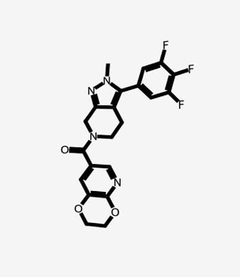 Cn1nc2c(c1-c1cc(F)c(F)c(F)c1)CCN(C(=O)c1cnc3c(c1)OCCO3)C2